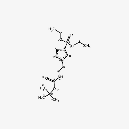 CCOP(=O)(OCC)c1cnn(CCNC(=O)OC(C)(C)C)c1